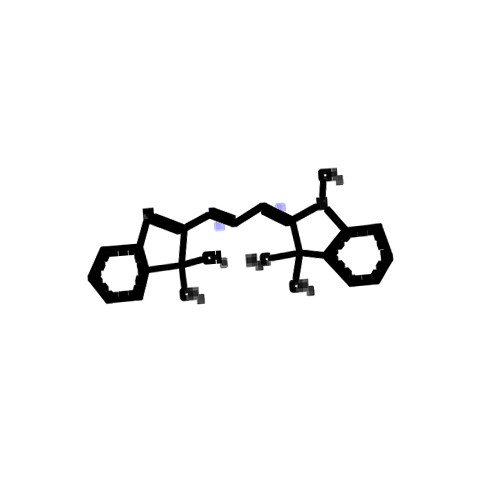 CN1/C(=C/C=C/C2=Nc3ccccc3C2(C)C)C(C)(C)c2ccccc21